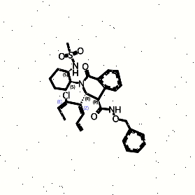 C=C/C=C(\C(Cl)=C/C)[C@H]1[C@H](C(=O)NOCc2ccccc2)c2ccccc2C(=O)N1[C@H]1CCCC[C@@H]1NS(C)(=O)=O